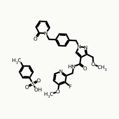 COCc1nn(Cc2ccc(Cn3ccccc3=O)cc2)cc1C(=O)NCc1nccc(OC)c1F.Cc1ccc(S(=O)(=O)O)cc1